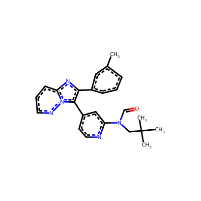 Cc1cccc(-c2nc3cccnn3c2-c2ccnc(N(C=O)CC(C)(C)C)c2)c1